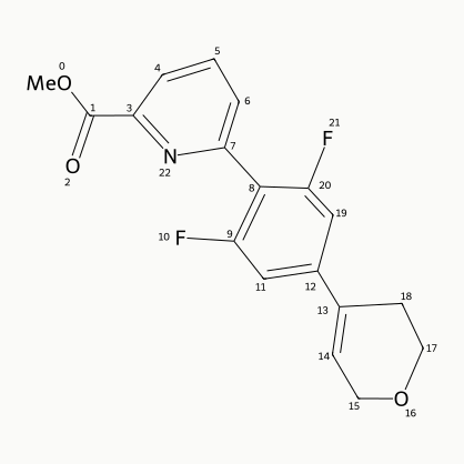 COC(=O)c1cccc(-c2c(F)cc(C3=CCOCC3)cc2F)n1